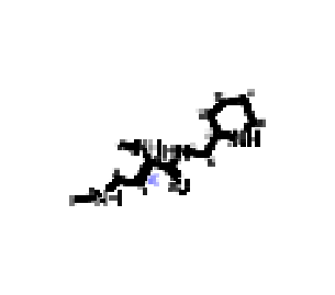 CNC/C=C(\NC)C(=O)NCC1CCCCN1